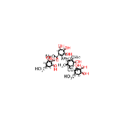 COC(=O)c1cc(O)c(O)c(O)c1.COc1c(O)cc(C(=O)O)c(C)c1OC.O=C(O)c1cc(O)c(O)c(O)c1.O=C(O)c1cc(O)c(O)c(O)c1